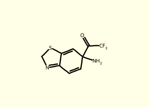 NC1(C(=O)C(F)(F)F)C=CC2=NCSC2=C1